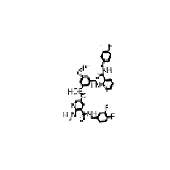 CC(C)Oc1cc(CNc2ncccc2C(=O)NCc2ccc(F)c(F)c2)cc(B(O)Oc2cnc(N)c(C(=O)NCc3ccc(F)c(F)c3)c2)c1